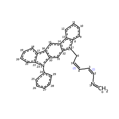 C=N/C=C\C=C/Cn1c2ccccc2c2cc3c4ccccc4n(-c4ccccc4)c3cc21